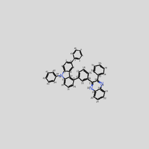 c1ccc(-c2ccc3c(c2)c2c(-c4cccc(-c5nc6ccccc6nc5-c5ccccc5)c4)cccc2n3-c2ccccc2)cc1